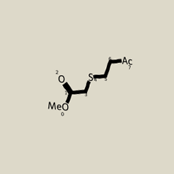 COC(=O)CSCCC(C)=O